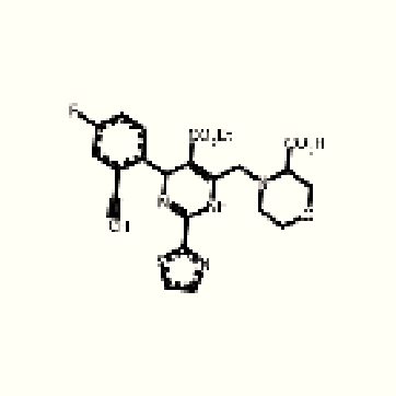 C#Cc1cc(F)ccc1C1N=C(c2nccs2)NC(CN2CCOCC2C(=O)O)=C1C(=O)OCC